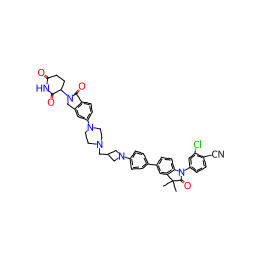 CC1(C)C(=O)N(c2ccc(C#N)c(Cl)c2)c2ccc(-c3ccc(N4CC(CN5CCN(c6ccc7c(c6)CN(C6CCC(=O)NC6=O)C7=O)CC5)C4)cc3)cc21